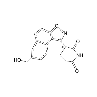 O=C1CC[C@H](c2noc3ccc4cc(CO)ccc4c23)C(=O)N1